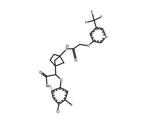 NC(=O)C(Oc1ccc(Cl)c(F)c1)C12CCC(NC(=O)COc3cncc(C(F)(F)F)c3)(C1)C2